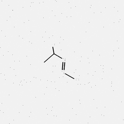 CCC(C)/N=N/C(C)C